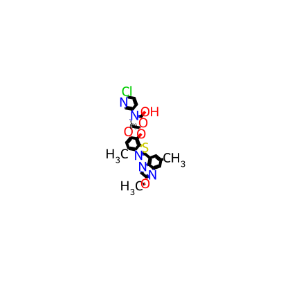 COc1cnc2c(-c3nc4c(C)cc5c(c4s3)OC[C@@H](CN(C(=O)O)c3ccc(Cl)nc3)O5)cc(C)cc2n1